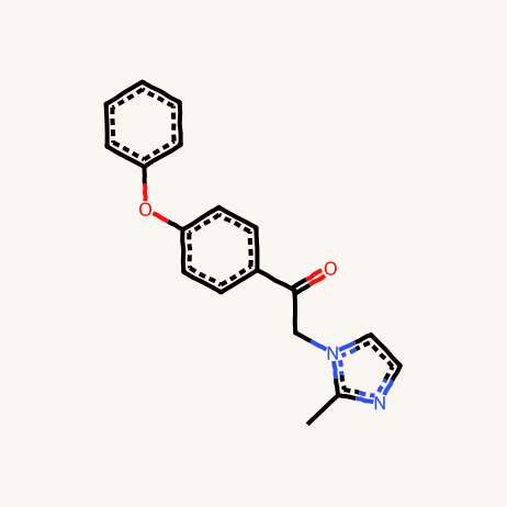 Cc1nccn1CC(=O)c1ccc(Oc2ccccc2)cc1